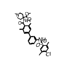 COC(=O)C1(NC(=O)c2c(C)cc(-c3cccc(NS(=O)(=O)c4cc(C)c(Cl)cc4C)c3)cc2C)CCN(C)CC1